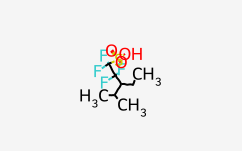 CCC(C(C)C)C(F)(F)C(F)(F)S(=O)(=O)O